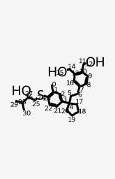 Cc1cc(C2(CCc3ccc(CO)c(CO)c3)CCCC2)ccc1SCC(O)C(C)C